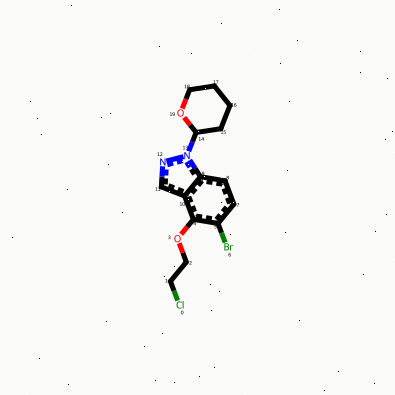 ClCCOc1c(Br)ccc2c1cnn2C1CCCCO1